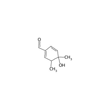 CC1C=C(C=O)C=CC1(C)O